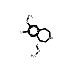 COC[C@H]1CNCCc2cc(OC)c(Br)cc21